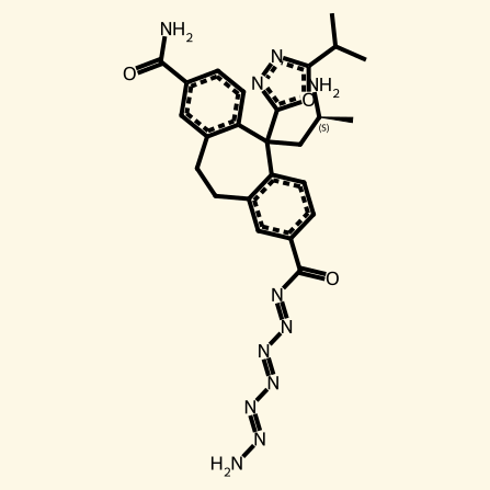 CC(C)c1nnc(C2(C[C@H](C)N)c3ccc(C(N)=O)cc3CCc3cc(C(=O)N=NN=NN=NN)ccc32)o1